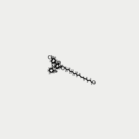 O=CCCCCCCCCCCCCCCCOCn1cc2c(c(-c3ccc(Cl)cc3)c1=O)Nc1ccccc1S2